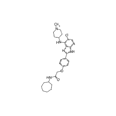 CN1CCC(Nc2c(Cl)cnc3[nH]c(-c4ccc(OCC(=O)NC5CCCCCC5)cc4)nc23)CC1